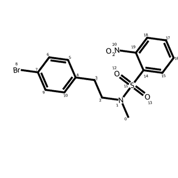 CN(C[CH]c1ccc(Br)cc1)S(=O)(=O)c1ccccc1[N+](=O)[O-]